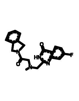 CN(CC(=O)N1Cc2ccccc2C1)Cc1nc2cc(F)ccc2c(=O)[nH]1